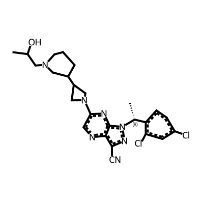 CC(O)CN1CCCC(C2CN(c3cnc4c(C#N)nn([C@H](C)c5ccc(Cl)cc5Cl)c4n3)C2)C1